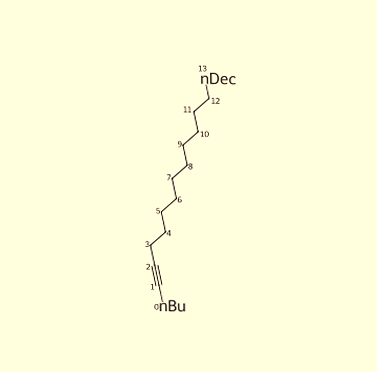 [CH2]CCCC#CCCCCCCCCCCCCCCCCCCC[CH2]